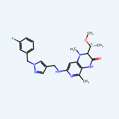 CO[C@H](C)C1C(=O)Nc2c(cc(NCc3cnn(Cc4cccc(F)c4)c3)nc2C)N1C